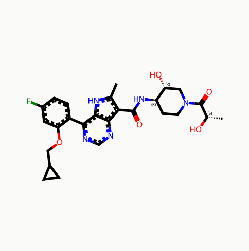 Cc1[nH]c2c(-c3ccc(F)cc3OCC3CC3)ncnc2c1C(=O)N[C@@H]1CCN(C(=O)[C@H](C)O)C[C@H]1O